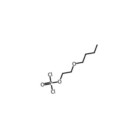 CCCCOCCOP(=O)(Cl)Cl